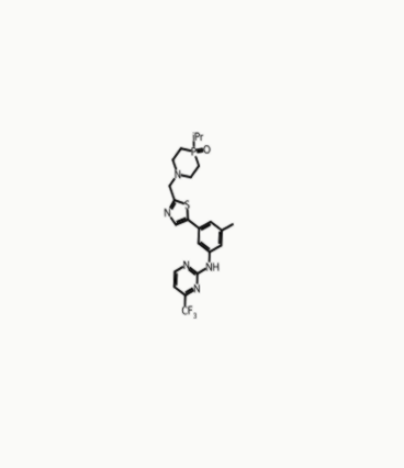 Cc1cc(Nc2nccc(C(F)(F)F)n2)cc(-c2cnc(CN3CCP(=O)(C(C)C)CC3)s2)c1